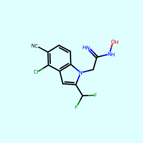 N#Cc1ccc2c(cc(C(F)F)n2CC(=N)NO)c1Cl